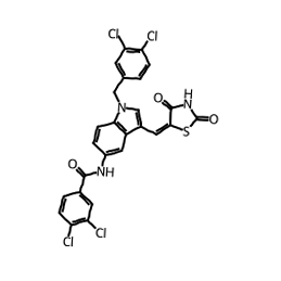 O=C1NC(=O)C(=Cc2cn(Cc3ccc(Cl)c(Cl)c3)c3ccc(NC(=O)c4ccc(Cl)c(Cl)c4)cc23)S1